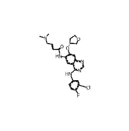 CN(C)C/C=C/C(=O)Nc1cc2c(Nc3ccc(F)c(Cl)c3)ncnc2cc1O[C@@H]1CCOC1